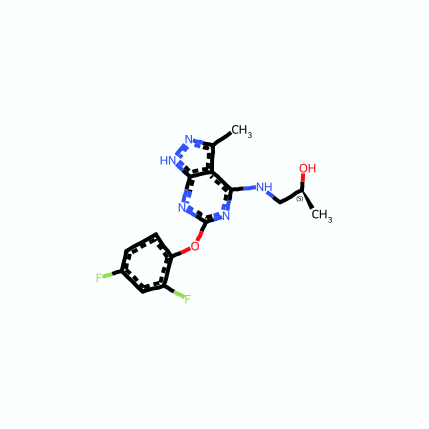 Cc1n[nH]c2nc(Oc3ccc(F)cc3F)nc(NC[C@H](C)O)c12